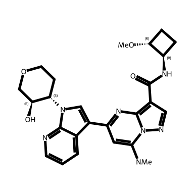 CNc1cc(-c2cn([C@H]3CCOC[C@@H]3O)c3ncccc23)nc2c(C(=O)N[C@@H]3CC[C@H]3OC)cnn12